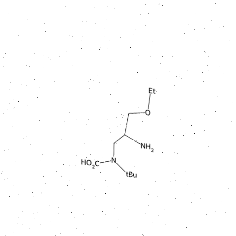 CCOCC(N)CN(C(=O)O)C(C)(C)C